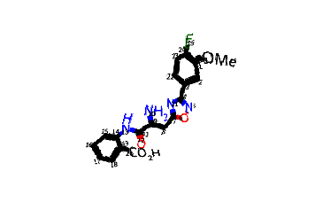 COc1cc(-c2noc(CC(N)C(=O)Nc3ccccc3C(=O)O)n2)ccc1F